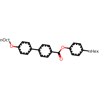 CCCCCCCCOc1ccc(-c2ccc(C(=O)Oc3ccc(CCCCCC)cc3)cc2)cc1